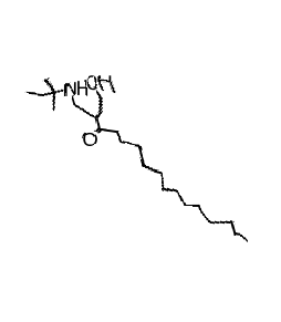 CCCCCCCCCCCCCC(=O)C(CO)CNC(C)(C)C